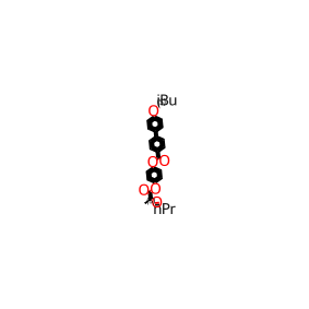 CCCO[C@@H](C)C(=O)Oc1ccc(OC(=O)c2ccc(-c3ccc(OC[C@@H](C)CC)cc3)cc2)cc1